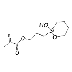 C=C(C)C(=O)OCCC[Si]1(O)CCCCO1